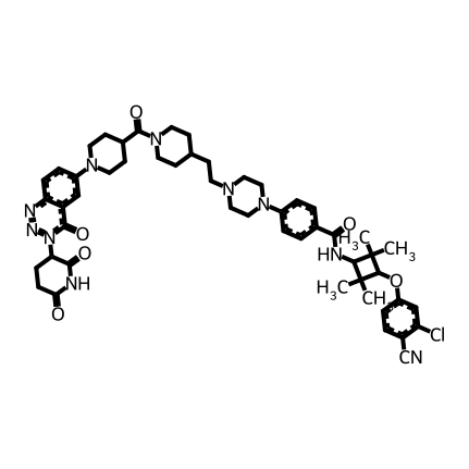 CC1(C)C(NC(=O)c2ccc(N3CCN(CCC4CCN(C(=O)C5CCN(c6ccc7nnn(C8CCC(=O)NC8=O)c(=O)c7c6)CC5)CC4)CC3)cc2)C(C)(C)C1Oc1ccc(C#N)c(Cl)c1